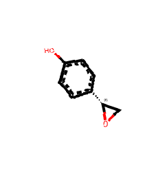 Oc1ccc([C@@H]2CO2)cc1